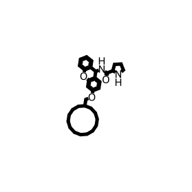 O=C(NC1c2ccccc2Oc2cc(OCC3CCCCCCCCCCCCC3)ccc21)C1CCCN1